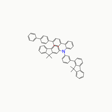 CC1(C)c2ccccc2-c2ccc(N(c3cccc(-c4cccc5c4C(C)(C)c4ccccc4-5)c3)c3ccccc3-c3ccc(-c4ccc(-c5ccccc5)cc4)cc3)cc21